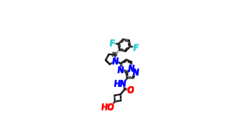 O=C(Nc1cnn2ccc(N3CCC[C@@H]3c3cc(F)ccc3F)nc12)C1CC(O)C1